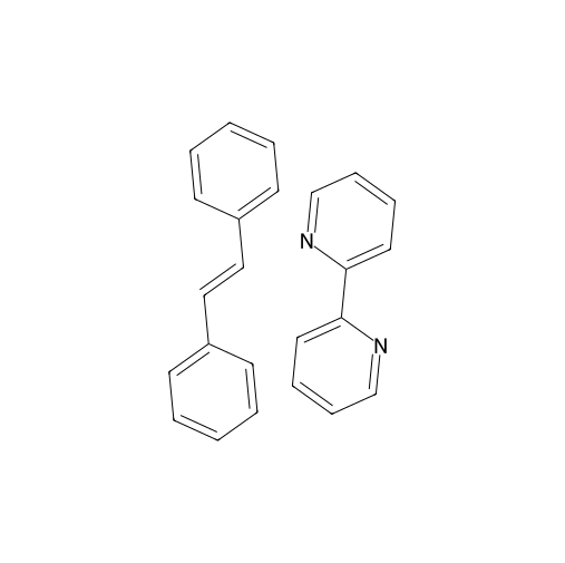 C(=Cc1ccccc1)c1ccccc1.c1ccc(-c2ccccn2)nc1